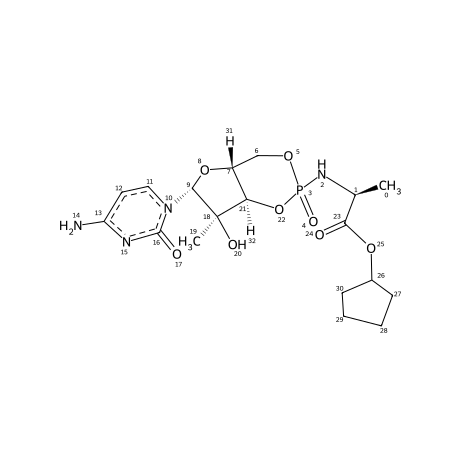 C[C@H](NP1(=O)OC[C@H]2O[C@@H](n3ccc(N)nc3=O)[C@](C)(O)[C@@H]2O1)C(=O)OC1CCCC1